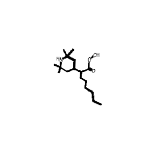 CCCCCCC(C(=O)OO)C1CC(C)(C)NC(C)(C)C1